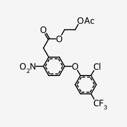 CC(=O)OCCOC(=O)Cc1cc(Oc2ccc(C(F)(F)F)cc2Cl)ccc1[N+](=O)[O-]